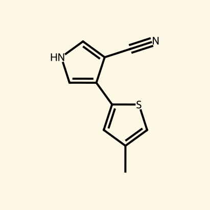 Cc1csc(-c2c[nH]cc2C#N)c1